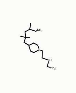 CC(CN)CC(C)(C)CN1CCN(CCNCN)CC1